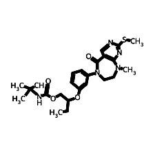 CCC(COC(=O)NC(C)(C)C)Oc1cccc(N2CCN(C)c3nc(SC)ncc3C2=O)c1